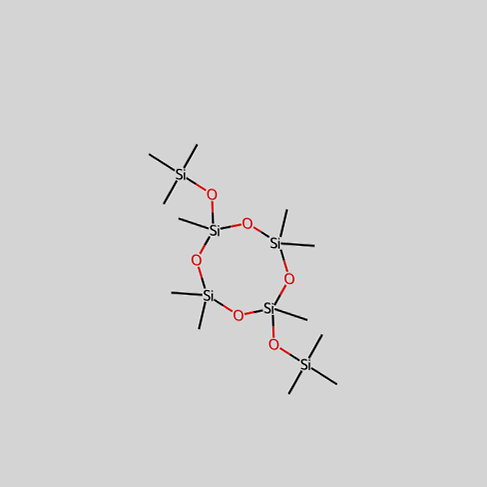 C[Si](C)(C)O[Si]1(C)O[Si](C)(C)O[Si](C)(O[Si](C)(C)C)O[Si](C)(C)O1